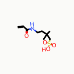 C=CC(=O)NCCC(C)(C)CS(=O)(=O)O